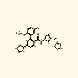 COc1cnc(Cl)cc1-c1cc(C2CCCC2)ncc1C(=O)Nc1nnc(O[C@@H]2CCOC2)s1